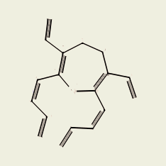 C=C/C=C\C1=C(C=C)CCC(C=C)=C(/C=C\C=C)N1